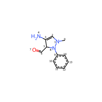 CN1C=C(N)C(C=O)N1c1ccccc1